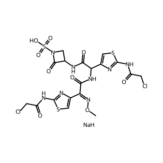 CON=C(C(=O)NC(C(=O)NC1CN(S(=O)(=O)O)C1=O)c1csc(NC(=O)CCl)n1)c1csc(NC(=O)CCl)n1.[NaH]